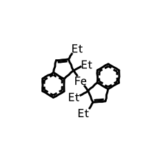 CCC1=Cc2ccccc2[C]1(CC)[Fe][C]1(CC)C(CC)=Cc2ccccc21